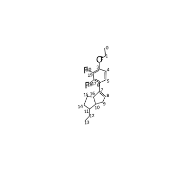 CCOc1ccc(C2=CCC3C(CC)CCC23)c(F)c1F